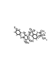 CN(Cc1cccc2c1S(=O)(=O)N=C2C1=C(O)[C@H](C(C)(C)C)N(Cc2ccc(F)cc2)C1=O)S(C)(=O)=O